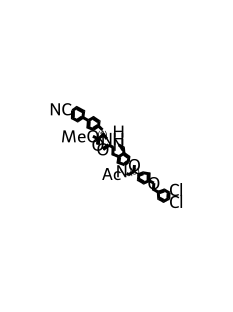 COC(=O)[C@H](Cc1ccc(-c2ccc(C#N)cc2)cc1)NC(=O)C1Cc2cc3c(cc2CN1)O[C@@H](c1ccc(OCc2ccc(Cl)c(Cl)c2)cc1)CN3C(C)=O